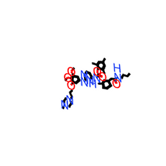 CCCCNC(=O)Cc1cccc(CN(C(=O)Oc2c(C)cc(C)cc2C)c2ccnc(Nc3cc(OC)c(OC)c(OCCCN4CCN(C)CC4)c3)n2)c1